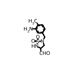 Cc1ccc(CN2CC(C=O)NS2(=O)=O)cc1N